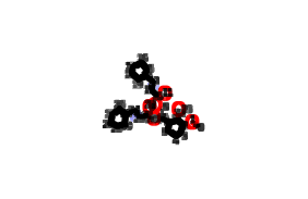 COc1cccc([C@@H](COC(=O)/C=C/c2ccccc2)OC(=O)/C=C/c2ccccc2)c1OC